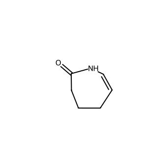 O=C1CCCC=CN1